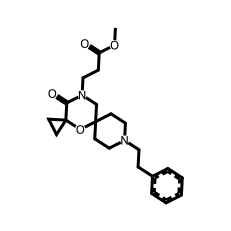 COC(=O)CCN1CC2(CCN(CCc3ccccc3)CC2)OC2(CC2)C1=O